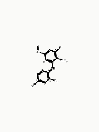 COc1cc(F)c(N)c(Nc2ccc(I)cc2F)c1